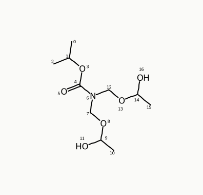 CC(C)OC(=O)N(COC(C)O)COC(C)O